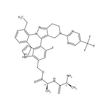 CCc1cccc(CC)c1-n1nc2c(c1-c1c(F)cc(COC(=O)[C@H](C)NC(=O)[C@H](C)N)c3[nH]ccc13)CN(c1ncc(C(F)(F)F)cn1)CC2